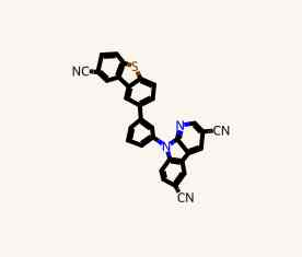 N#Cc1ccc2sc3ccc(-c4cccc(-n5c6ccc(C#N)cc6c6cc(C#N)cnc65)c4)cc3c2c1